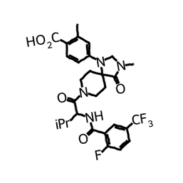 Cc1cc(N2CN(C)C(=O)C23CCN(C(=O)C(NC(=O)c2cc(C(F)(F)F)ccc2F)C(C)C)CC3)ccc1C(=O)O